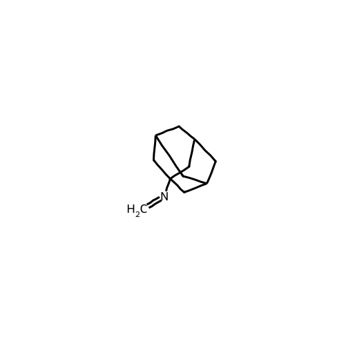 C=NC12CC3CC(CC(C3)C1)C2